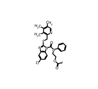 Cc1cnc(CSc2nc3cc(Cl)ccc3n2C(=O)N(CCOC(=O)I)c2ccccc2)c(C)c1C